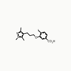 Cc1nn(C)c(C)c1CCCOc1cc(C(=O)O)ccc1I